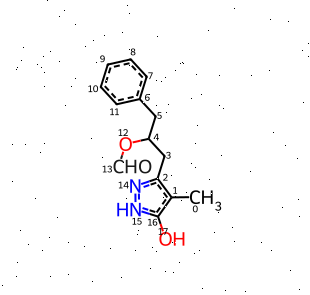 Cc1c(CC(Cc2ccccc2)OC=O)n[nH]c1O